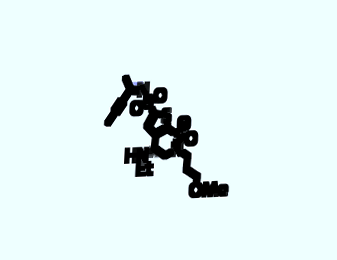 CC#C/C(C)=N\S(=O)(=O)c1cc2c(s1)S(=O)(=O)N(CCCOC)C[C@@H]2NCC